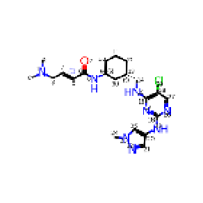 CN(C)C/C=C/C(=O)N[C@H]1CCC[C@H](CNc2nc(Nc3cnn(C)c3)ncc2Cl)C1